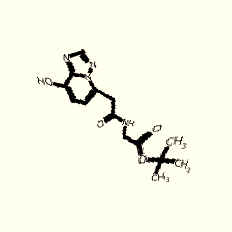 CC(C)(C)OC(=O)CNC(=O)Cc1ccc(O)c2ncnn12